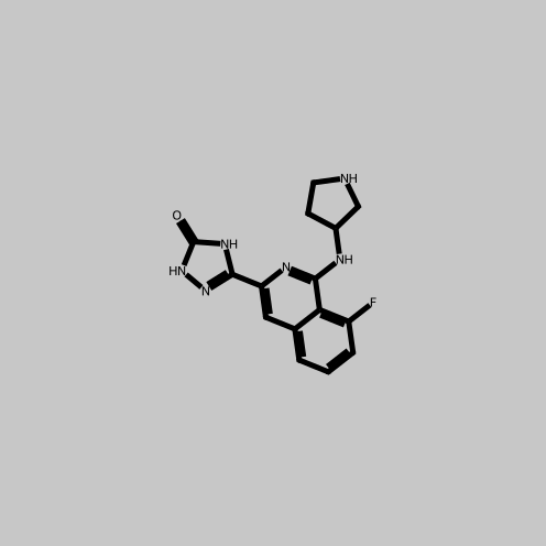 O=c1[nH]nc(-c2cc3cccc(F)c3c(NC3CCNC3)n2)[nH]1